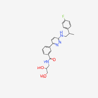 CC(CNc1ccc(-c2cccc(C(=O)NCC(O)CO)c2)nn1)c1ccc(F)cc1